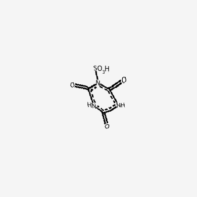 O=c1[nH]c(=O)n(S(=O)(=O)O)c(=O)[nH]1